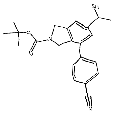 CC(S)c1cc2c(c(-c3ccc(C#N)cc3)c1)CN(C(=O)OC(C)(C)C)C2